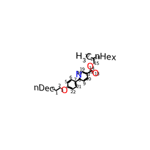 CCCCCCCCCCCCOc1ccc(-c2ccc(C(=O)OCC(C)CCCCCC)cn2)cc1